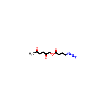 CC(=O)CCC(=O)COC(=O)CCCN=[N+]=[N-]